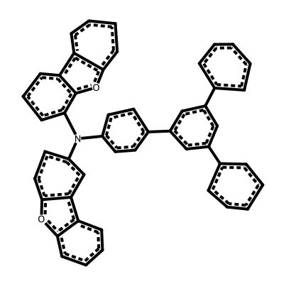 c1ccc(-c2cc(-c3ccccc3)cc(-c3ccc(N(c4ccc5oc6ccccc6c5c4)c4cccc5c4oc4ccccc45)cc3)c2)cc1